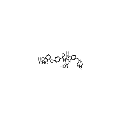 CN1CCN(Cc2ccc3[nH]/c(=N\C(=O)c4ccc(Oc5cccc(O)c5C=O)cc4)n(CC(C)(C)O)c3c2)CC1